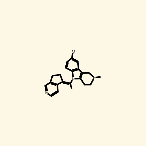 C/C(=C1/CCc2cnccc21)n1c2c(c3cc(Cl)ccc31)CN(C)CC2